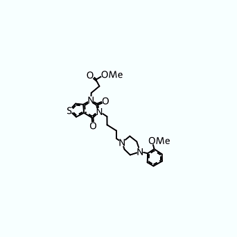 COC(=O)CCn1c(=O)n(CCCCN2CCN(c3ccccc3OC)CC2)c(=O)c2cscc21